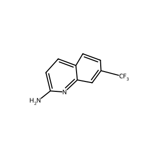 Nc1ccc2ccc(C(F)(F)F)cc2n1